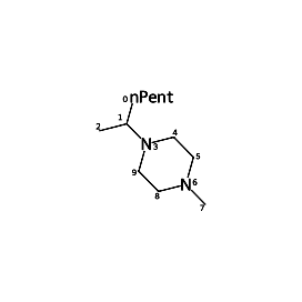 CC[CH]CCC(C)N1CCN(C)CC1